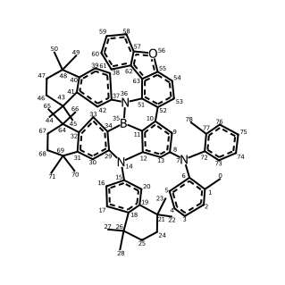 Cc1ccccc1N(c1cc2c3c(c1)N(c1ccc4c(c1)C(C)(C)CCC4(C)C)c1cc4c(cc1B3N(c1ccc3c(c1)C(C)(C)CCC3(C)C)c1c-2ccc2oc3ccccc3c12)C(C)(C)CCC4(C)C)c1ccccc1C